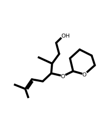 CC(C)=CCC(OC1CCCCO1)C(C)CCO